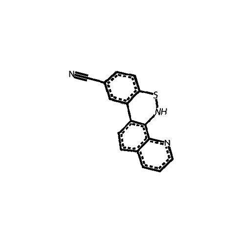 N#Cc1ccc2c(c1)-c1ccc3cccnc3c1NS2